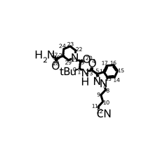 CC(C)(C)[C@H](NC(=O)c1nn(CCCCC#N)c2ccccc12)C(=O)N1CCCC(C(N)=O)C1